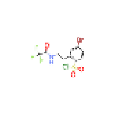 O=C(NCCc1cc(Br)ccc1S(=O)(=O)Cl)C(F)(F)F